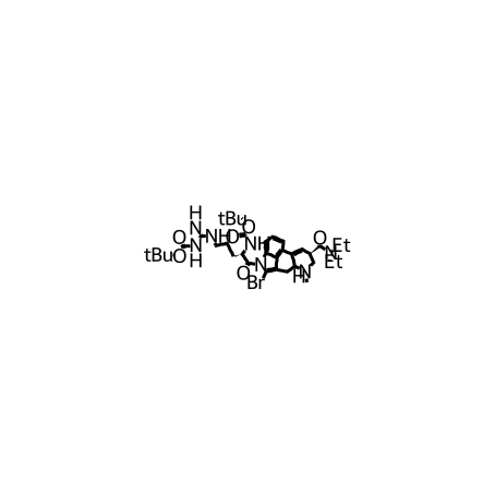 CCN(CC)C(=O)[C@@H]1C=C2c3cccc4c3c(c(Br)n4C(=O)[C@H](CCCNC(=N)NC(=O)OC(C)(C)C)NC(=O)OC(C)(C)C)C[C@H]2N(C)C1